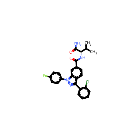 CC(C)[C@H](NC(=O)c1ccc2c(-c3ccccc3Cl)nn(-c3ccc(F)cc3)c2c1)C(N)=O